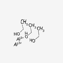 CCO.CCO.CCO.[Al+3].[Al+3]